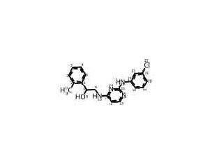 Cc1ccccc1C(O)CNc1ccnc(Nc2cccc(Cl)c2)n1